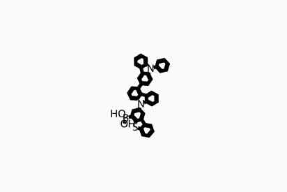 OB(O)c1cc(-n2c3ccccc3c3c(-c4ccc5c(c4)c4ccccc4n5-c4ccccc4)cccc32)cc2c1sc1ccccc12